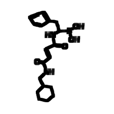 O=C(C=CC(=O)NC(Cc1ccccc1)B(O)O)NCC1CCCCC1